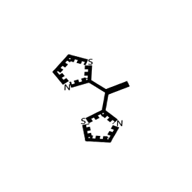 C=C(c1nccs1)c1nccs1